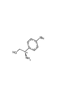 CC(C)(C)c1ccc([C@@H](N)CO)cc1